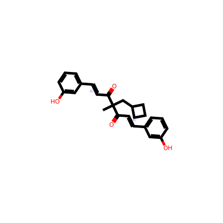 CC(CC1CCC1)(C(=O)/C=C/c1cccc(O)c1)C(=O)/C=C/c1cccc(O)c1